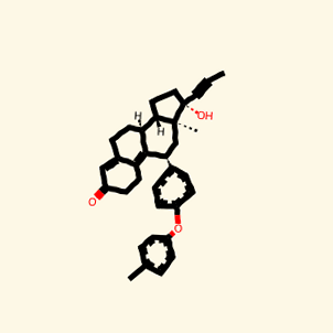 CC#C[C@]1(O)CC[C@H]2[C@@H]3CCC4=CC(=O)CCC4=C3[C@@H](c3ccc(Oc4ccc(C)cc4)cc3)C[C@@]21C